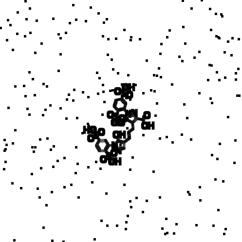 O=C(O)C1=NN(c2cc(S(=O)(=O)O)ccc2S(=O)(=O)O)C(=O)C1CC=Cc1cnn(-c2cc(S(=O)(=O)O)ccc2S(=O)(=O)O)c1O